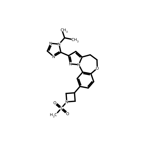 CC(C)n1ncnc1-c1cc2n(n1)-c1cc(C3CN(S(C)(=O)=O)C3)ccc1OCC2